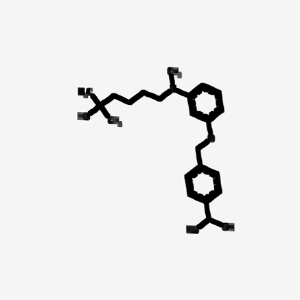 CN(CCCCC(C)(C)O)c1cccc(OCc2ccc(C(O)O)cc2)c1